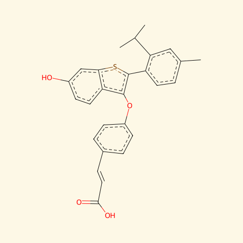 Cc1ccc(-c2sc3cc(O)ccc3c2Oc2ccc(/C=C/C(=O)O)cc2)c(C(C)C)c1